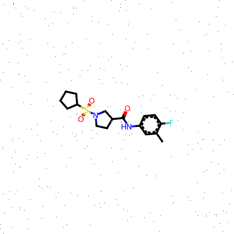 Cc1cc(NC(=O)C2CCN(S(=O)(=O)C3CCCC3)C2)ccc1F